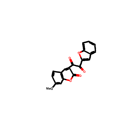 COc1ccc2cc(C(=O)C(=O)c3cc4ccccc4o3)c(=O)oc2c1